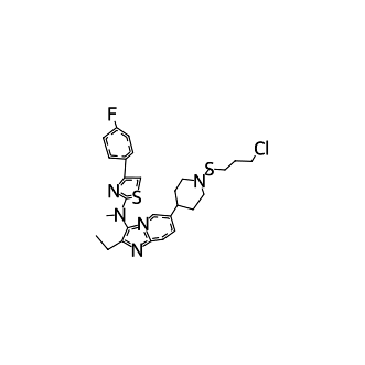 CCc1nc2ccc(C3CCN(SCCCCl)CC3)cn2c1N(C)c1nc(-c2ccc(F)cc2)cs1